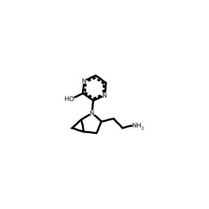 NCCC1CC2CC2N1c1nccnc1O